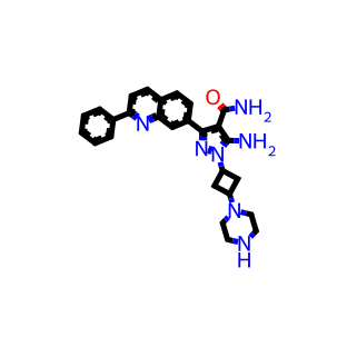 NC(=O)c1c(-c2ccc3ccc(-c4ccccc4)nc3c2)nn(C2CC(N3CCNCC3)C2)c1N